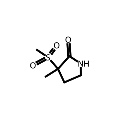 CC1(S(C)(=O)=O)CCNC1=O